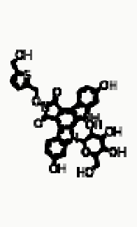 O=C1c2c(c3c4ccc(O)cc4n(C4OC(CO)C(O)C(O)C4O)c3c3[nH]c4cc(O)ccc4c23)C(=O)N1OCc1ccc(CO)s1